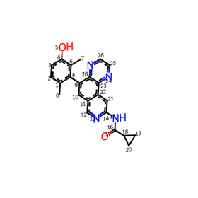 Cc1ccc(O)c(C)c1-c1cc2cnc(NC(=O)C3CC3)cc2c2nccnc12